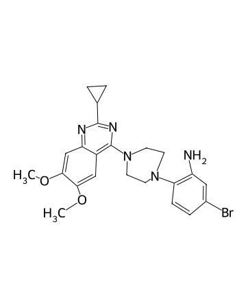 COc1cc2nc(C3CC3)nc(N3CCN(c4ccc(Br)cc4N)CC3)c2cc1OC